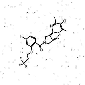 Cc1nc2c3c(nn2c(C)c1Cl)CN(C(=O)c1ccc(F)cc1OCCC(F)(F)F)C3